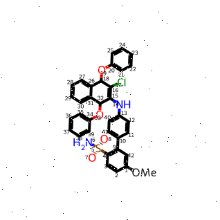 COc1ccc(S(N)(=O)=O)c(-c2ccc(NC3=C(Cl)C(Oc4ccccc4)c4ccccc4C3Oc3ccccc3)cc2)c1